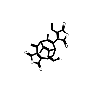 C=CC1=C(C2=C(C)C3C(=C)C4=C(CCC2C(/C=C\CC)=C3C)C(=O)OC4=O)C(=O)OC1=O